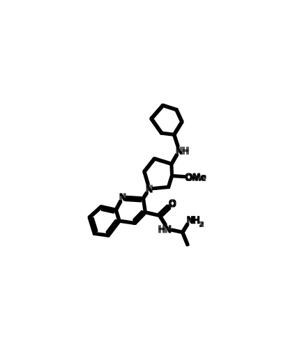 COC1CN(c2nc3ccccc3cc2C(=O)NC(C)N)CCC1NC1CCCCC1